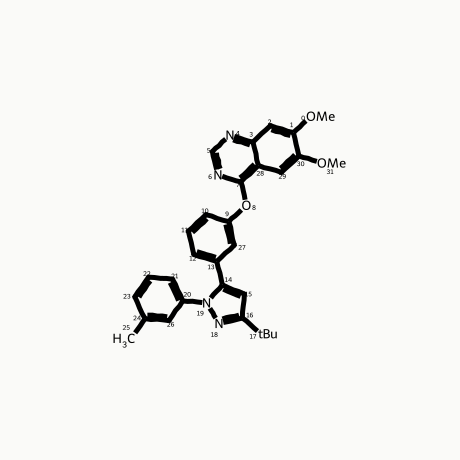 COc1cc2ncnc(Oc3cccc(-c4cc(C(C)(C)C)nn4-c4cccc(C)c4)c3)c2cc1OC